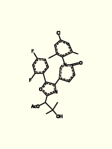 CC(=O)OC(c1nc(-c2ccc(=O)n(-c3c(C)cc(Cl)cc3C)c2)c(-c2ccc(F)cc2F)o1)C(C)(C)O